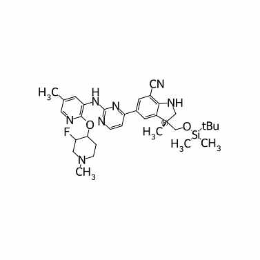 Cc1cnc(OC2CCN(C)CC2F)c(Nc2nccc(-c3cc(C#N)c4c(c3)[C@@](C)(CO[Si](C)(C)C(C)(C)C)CN4)n2)c1